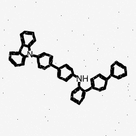 c1ccc(-c2ccc(-c3ccccc3Nc3ccc(-c4ccc(-n5c6ccccc6c6ccccc65)cc4)cc3)cc2)cc1